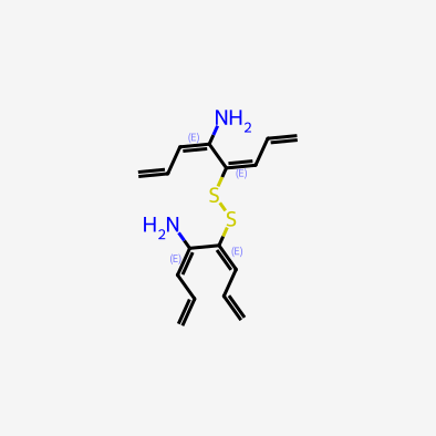 C=C/C=C(N)\C(=C/C=C)SSC(=C/C=C)/C(N)=C\C=C